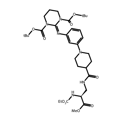 CCOC(=O)N[C@@H](CNC(=O)C1CCN(c2cccc(N=C3N(C(=O)OC(C)(C)C)CCCN3C(=O)OC(C)(C)C)c2)CC1)C(=O)OC